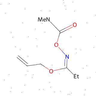 C=CCOC(CC)=NOC(=O)NC